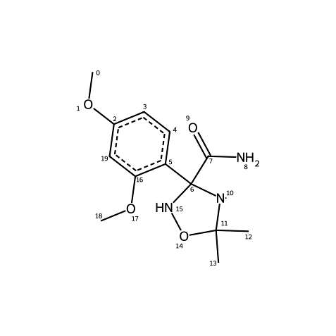 COc1ccc(C2(C(N)=O)[N]C(C)(C)ON2)c(OC)c1